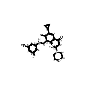 CC1C(C2CC2)=Cc2c(oc(N3CCOCC3)cc2=O)C1CNc1cc(F)cc(F)c1